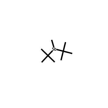 [CH3][Sb]([C](C)(C)C)[C](C)(C)C